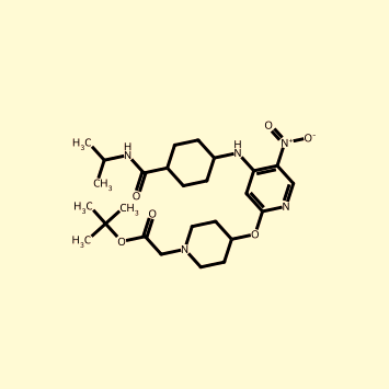 CC(C)NC(=O)C1CCC(Nc2cc(OC3CCN(CC(=O)OC(C)(C)C)CC3)ncc2[N+](=O)[O-])CC1